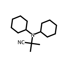 CC(C)(C#N)N(C1CCCCC1)C1CCCCC1